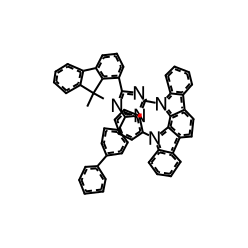 CC1(C)c2ccccc2-c2cccc(-c3nc(-c4ccc(-c5ccccc5)cc4)nc(-n4c5ccccc5c5ccc6c7ccccc7n(-c7ccccc7)c6c54)n3)c21